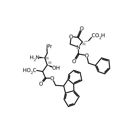 CC(C)C[C@H](N)[C@@H](O)C(C(=O)O)C(=O)OCC1c2ccccc2-c2ccccc21.O=C(O)C[C@H]1C(=O)OCN1C(=O)OCc1ccccc1